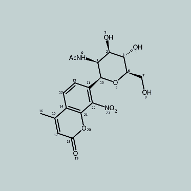 CC(=O)N[C@H]1[C@@H](O)[C@H](O)[C@@H](CO)O[C@H]1c1ccc2c(C)cc(=O)oc2c1[N+](=O)[O-]